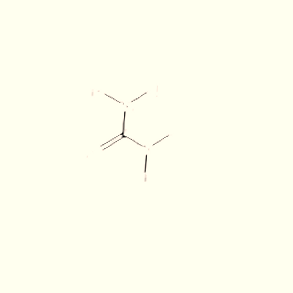 CC(C)N(C)C(=O)N(C)C(C)C